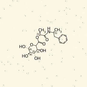 C[C@H](OC(=O)C1O[C@@H](O)[C@H](O)[C@@H](O)[C@@H]1O)C(=O)N[C@@H](C)Cc1ccccc1